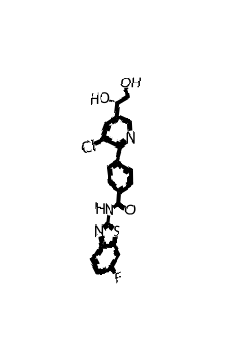 O=C(Nc1nc2ccc(F)cc2s1)c1ccc(-c2ncc([C@H](O)CO)cc2Cl)cc1